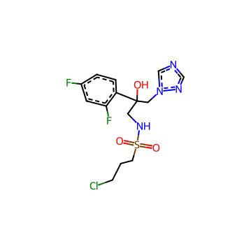 O=S(=O)(CCCCl)NCC(O)(Cn1cncn1)c1ccc(F)cc1F